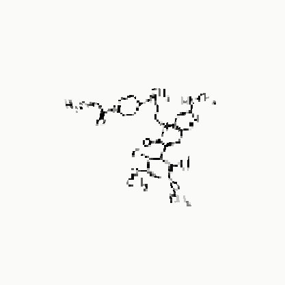 C=CC(=O)N1CCC(N(C)CCn2c(=O)c(-c3c(Cl)c(OC)cc(OC)c3Cl)cc3cnc(NC)cc32)CC1